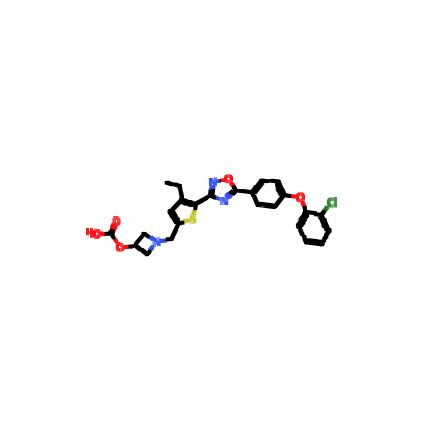 CCc1cc(CN2CC(OC(=O)O)C2)sc1-c1noc(-c2ccc(Oc3ccccc3Cl)cc2)n1